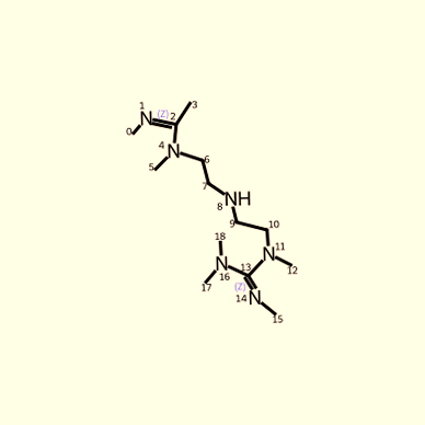 C/N=C(/C)N(C)CCNCCN(C)/C(=N\C)N(C)C